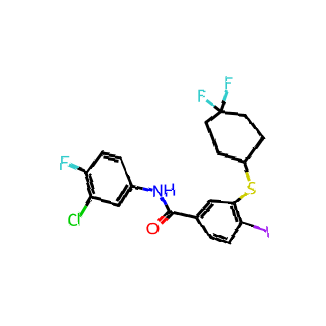 O=C(Nc1ccc(F)c(Cl)c1)c1ccc(I)c(SC2CCC(F)(F)CC2)c1